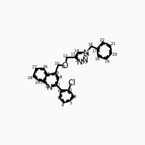 Clc1ccccc1-c1cc(COCc2cn(Cc3ccccc3)nn2)c2ccccc2n1